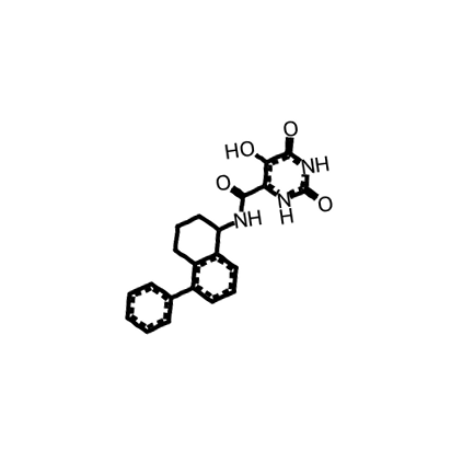 O=C(NC1CCCc2c(-c3ccccc3)cccc21)c1[nH]c(=O)[nH]c(=O)c1O